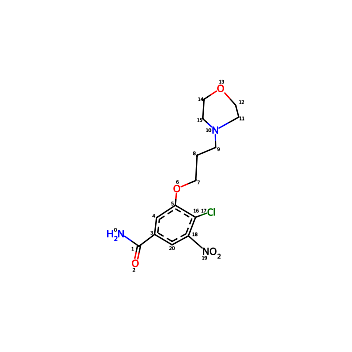 NC(=O)c1cc(OCCCN2CCOCC2)c(Cl)c([N+](=O)[O-])c1